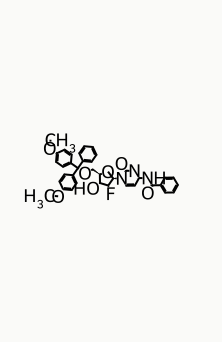 COc1ccc(C(OC[C@H]2O[C@@H](n3ccc(NC(=O)c4ccccc4)nc3=O)[C@H](F)[C@@H]2O)(c2ccccc2)c2ccc(OC)cc2)cc1